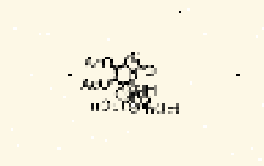 CCCCCCCCOP(=O)(N[C@@H]1C(OC(C)=O)C(OC(C)=O)[C@H](OC(C)=O)C2COC(=O)N21)OCCCCCCCC